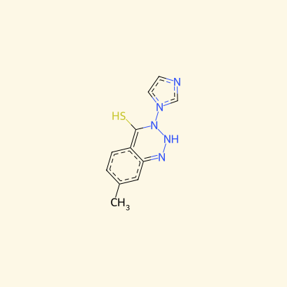 Cc1ccc2c(c1)=NNN(n1ccnc1)C=2S